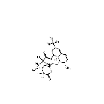 [2H]O[C@@H]1CC(CC[C@@H]2[C@@H]3C(=C[C@H](C([2H])([2H])[2H])C[C@@H]3OC(=O)C(C)(C)CC)C=C[C@@H]2C)OC(=O)C1([2H])[2H]